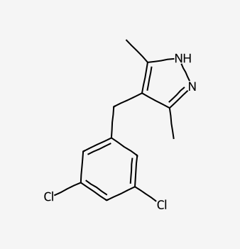 Cc1n[nH]c(C)c1Cc1cc(Cl)cc(Cl)c1